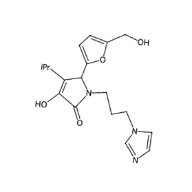 CC(C)C1=C(O)C(=O)N(CCCn2ccnc2)C1c1ccc(CO)o1